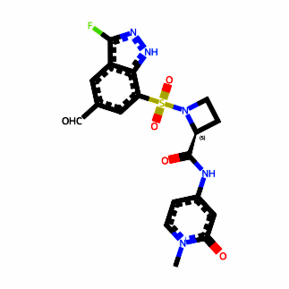 Cn1ccc(NC(=O)[C@@H]2CCN2S(=O)(=O)c2cc(C=O)cc3c(F)n[nH]c23)cc1=O